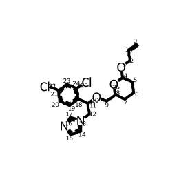 C=CCOC1CCCC(COC(Cn2ccnc2)c2ccc(Cl)cc2Cl)O1